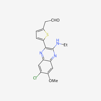 CCNc1nc2cc(OC)c(Cl)cc2nc1-c1ccc(CC=O)s1